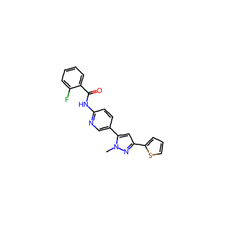 Cn1nc(-c2cccs2)cc1-c1ccc(NC(=O)c2ccccc2F)nc1